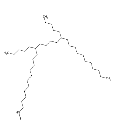 CCCCCCCCCCCC(CCCCC)CCCCC(CCCCC)CCCCCCCCCCCNI